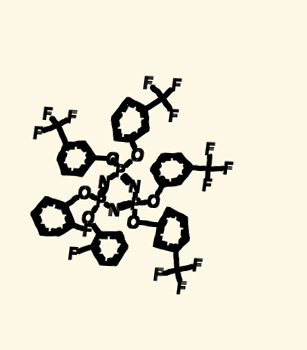 Fc1ccccc1OP1(Oc2ccccc2F)=NP(Oc2cccc(C(F)(F)F)c2)(Oc2cccc(C(F)(F)F)c2)=NP(Oc2cccc(C(F)(F)F)c2)(Oc2cccc(C(F)(F)F)c2)=N1